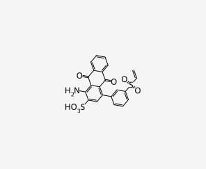 C=CS(=O)(=O)c1cccc(-c2cc(S(=O)(=O)O)c(N)c3c2C(=O)c2ccccc2C3=O)c1